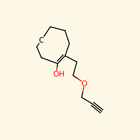 C#CCOCCC1=C(O)CCCCCC1